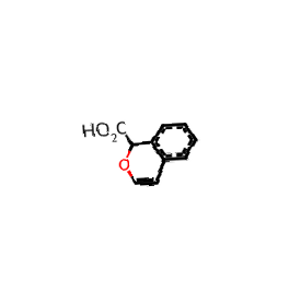 O=C(O)C1OC=Cc2ccccc21